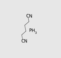 N#CCCCCC#N.P